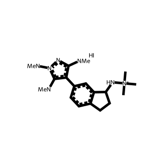 CNc1nn(NC)c(NC)c1-c1ccc2c(c1)C(N[N+](C)(C)C)CC2.I